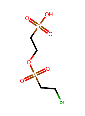 O=S(=O)(O)CCOS(=O)(=O)CCBr